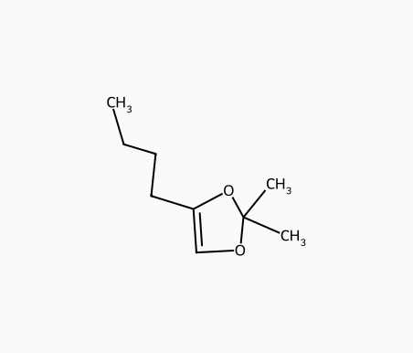 CCCCC1=COC(C)(C)O1